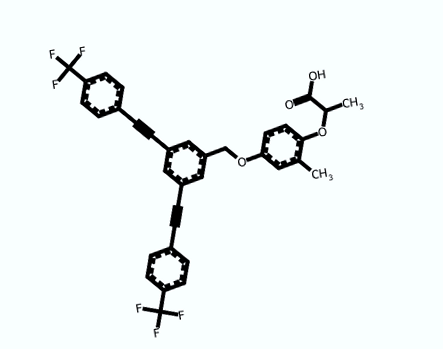 Cc1cc(OCc2cc(C#Cc3ccc(C(F)(F)F)cc3)cc(C#Cc3ccc(C(F)(F)F)cc3)c2)ccc1OC(C)C(=O)O